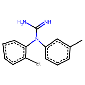 CCc1ccccc1N(C(=N)N)c1cccc(C)c1